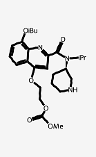 COC(=O)OCCOc1cc(C(=O)N(C(C)C)[C@@H]2CCCNC2)nc2c(OCC(C)C)cccc12